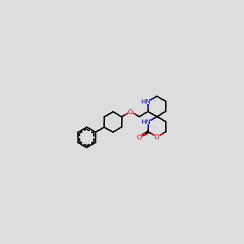 O=C1NC2(CCCNC2COC2CCC(c3ccccc3)CC2)CCO1